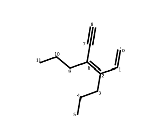 [CH]=CC(CCC)=C(C#C)CCC